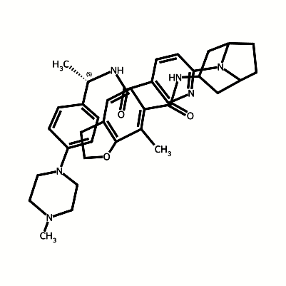 Cc1c(C(=O)NC2CC3CCC(C2)N3c2ccc(C(=O)N[C@@H](C)c3ccc(N4CCN(C)CC4)cc3)cn2)ccc2c1OCC2